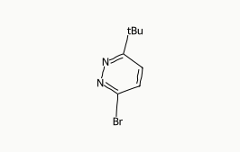 CC(C)(C)c1ccc(Br)nn1